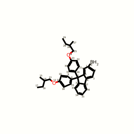 Bc1ccc2c(c1)C(c1ccc(OCC(C)CC)cc1)(c1ccc(OCC(C)CC)cc1)c1ccccc1-2